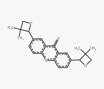 CC1(C)COC1c1ccc2oc3ccc(C4OCC4(C)C)cc3c(=O)c2c1